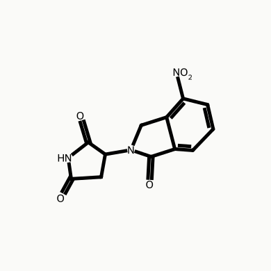 O=C1CC(N2Cc3c(cccc3[N+](=O)[O-])C2=O)C(=O)N1